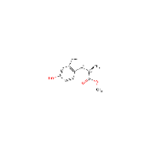 COC(=O)[C@H](C)[C@H]1CCc2cc(O)ccc21